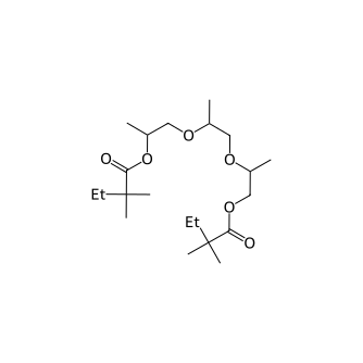 CCC(C)(C)C(=O)OCC(C)OCC(C)OCC(C)OC(=O)C(C)(C)CC